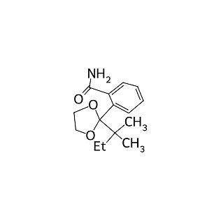 CCC(C)(C)C1(c2ccccc2C(N)=O)OCCO1